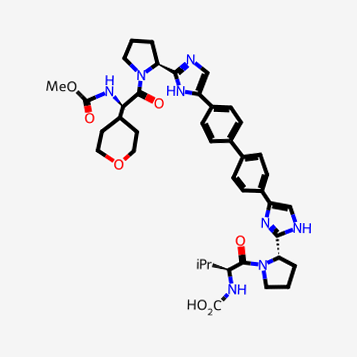 COC(=O)N[C@@H](C(=O)N1CCC[C@H]1c1ncc(-c2ccc(-c3ccc(-c4c[nH]c([C@@H]5CCCN5C(=O)[C@@H](NC(=O)O)C(C)C)n4)cc3)cc2)[nH]1)C1CCOCC1